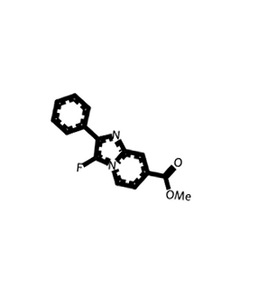 COC(=O)c1ccn2c(F)c(-c3ccccc3)nc2c1